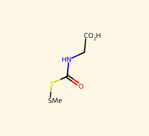 CSSC(=O)NCC(=O)O